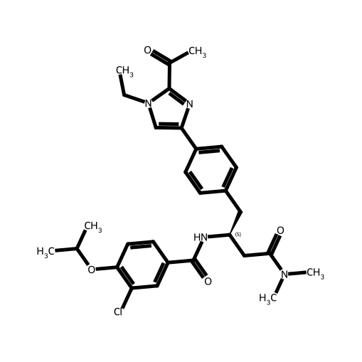 CCn1cc(-c2ccc(C[C@@H](CC(=O)N(C)C)NC(=O)c3ccc(OC(C)C)c(Cl)c3)cc2)nc1C(C)=O